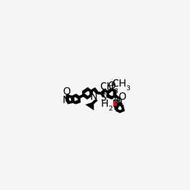 COc1cc(C(=O)N2CC3CCC2[C@@H]3N)cc2sc(-c3cc4ccc(-c5ccc6c(c5)C(=O)N=C6)cc4n3CC3CC3)c(C)c12